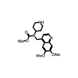 COc1cc2nccc(CN(C(=O)OC(C)(C)C)C3CCNCC3)c2cc1OC